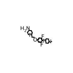 CN1CCN(c2c(F)cc(OCCN3CCC(N)CC3)cc2F)CC1